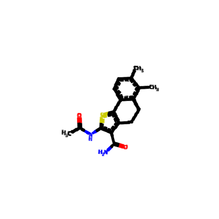 CC(=O)Nc1sc2c(c1C(N)=O)CCc1c-2ccc(C)c1C